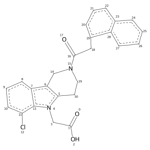 O=C(O)Cn1c2c(c3cccc(Cl)c31)CN(C(=O)Cc1cccc3ccccc13)CC2